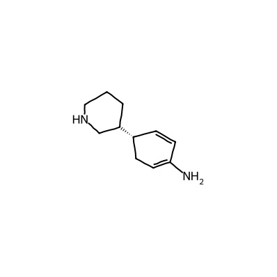 NC1=CC[C@H](C2CCCNC2)C=C1